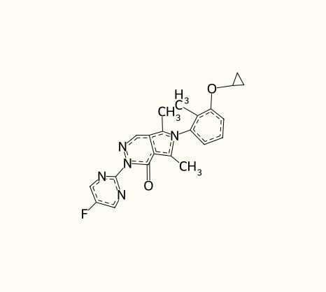 Cc1c(OC2CC2)cccc1-n1c(C)c2cnn(-c3ncc(F)cn3)c(=O)c2c1C